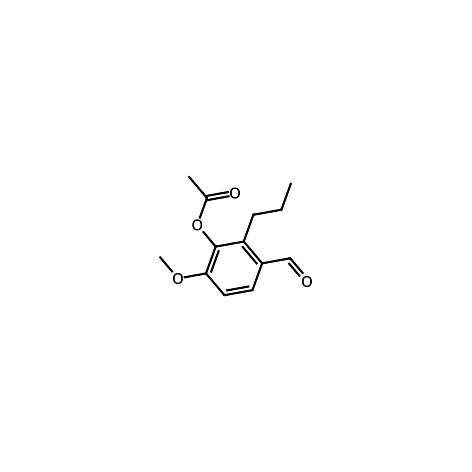 CCCc1c(C=O)ccc(OC)c1OC(C)=O